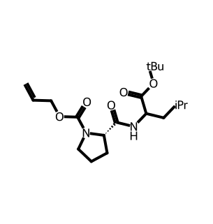 C=CCOC(=O)N1CCC[C@H]1C(=O)NC(CC(C)C)C(=O)OC(C)(C)C